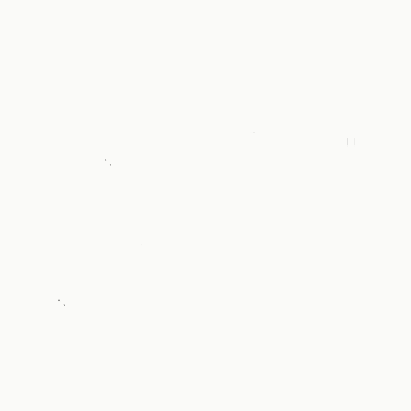 CCCC(=O)c1ccc(Cc2ncccc2-c2cnccc2C)cc1